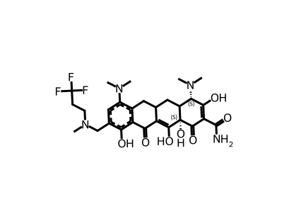 CN(CCC(F)(F)F)Cc1cc(N(C)C)c2c(c1O)C(=O)C1=C(O)[C@]3(O)C(=O)C(C(N)=O)=C(O)[C@@H](N(C)C)C3CC1C2